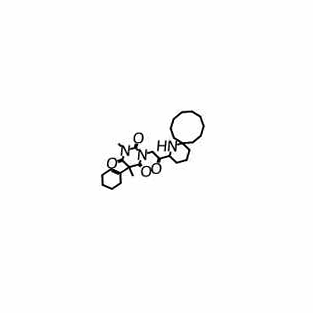 CN1C(=O)N(CC(=O)C2CCCC3(CCCCCCCCC3)N2)C(=O)C(C)(C2=CCCCC2)C1=O